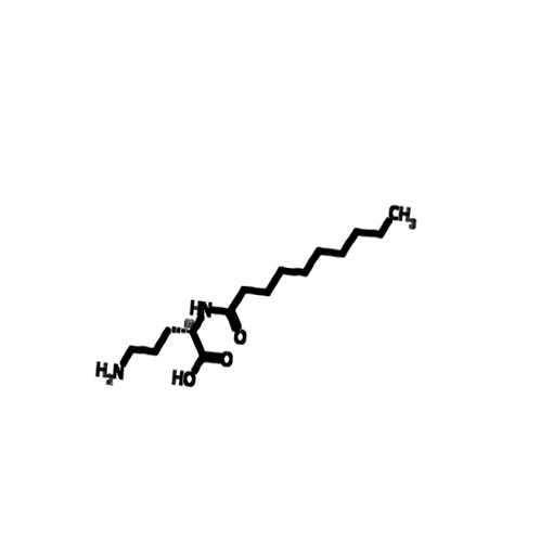 CCCCCCCCCC(=O)N[C@@H](CCCN)C(=O)O